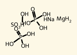 O=P(O)(O)O.O=P(O)(O)O.O=S(=O)(O)O.[MgH2].[NaH]